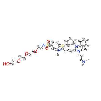 CCCN(CCCN(C)C)C1=C/C(=C/c2sc3ccc(S(=O)(=O)NCCOCCOCCOCCO)cc3[n+]2C)c2ccccc2N1c1ccccc1